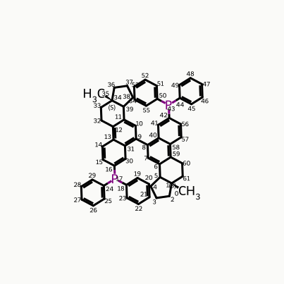 C[C@@]12CCCC1c1cc(-c3cc4c(c5ccc(P(c6ccccc6)c6ccccc6)cc35)CC[C@]3(C)CCCC43)c3cc(P(c4ccccc4)c4ccccc4)ccc3c1CC2